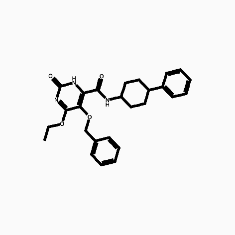 CCOc1nc(=O)[nH]c(C(=O)NC2CCC(c3ccccc3)CC2)c1OCc1ccccc1